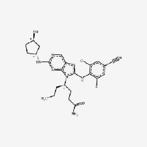 CCC[C@H](CCC(N)=O)n1c(Nc2c(F)cc(C#N)cc2Cl)nc2cnc(N[C@@H]3CC[C@@H](O)C3)nc21